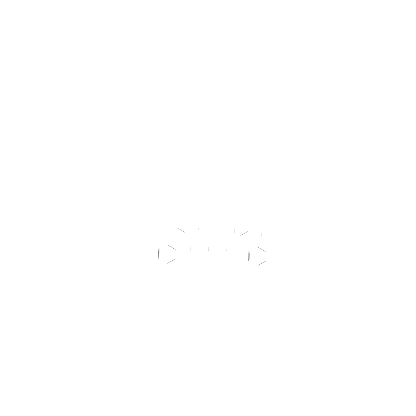 CCCCCCCCCCC(OCCCC)=C(OCCCC)C(OCOCOC(C(OCCCC)=C(CCCCCCCCCC)OCCCC)c1ccccc1)c1ccccc1